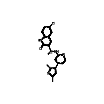 Cc1cc(-c2ccnc(N[C@@H](C)c3cc4cc(Cl)ccc4[nH]c3=O)c2)n(C)n1